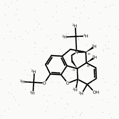 [2H]C([2H])([2H])Oc1ccc2c3c1OC1([2H])C([2H])(O)C=C[C@@]4([2H])[C@@]([2H])(C2)N(C([2H])([2H])[2H])CC[C@]314